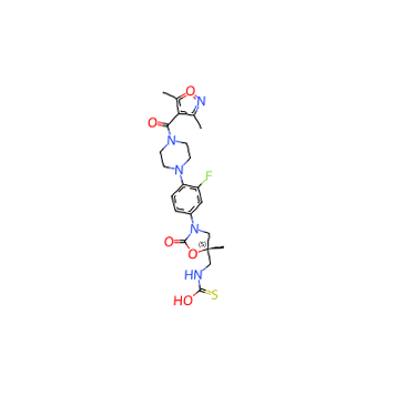 Cc1noc(C)c1C(=O)N1CCN(c2ccc(N3C[C@](C)(CNC(O)=S)OC3=O)cc2F)CC1